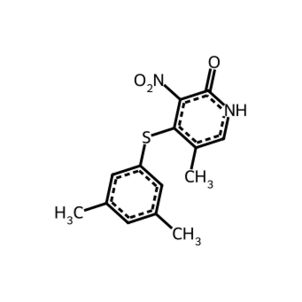 Cc1cc(C)cc(Sc2c(C)c[nH]c(=O)c2[N+](=O)[O-])c1